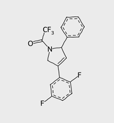 O=C(N1CC(c2cc(F)ccc2F)=CC1c1ccccc1)C(F)(F)F